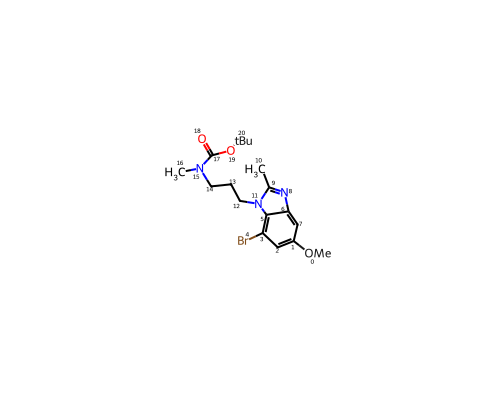 COc1cc(Br)c2c(c1)nc(C)n2CCCN(C)C(=O)OC(C)(C)C